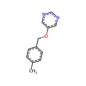 Cc1ccc(COc2cncnc2)cc1